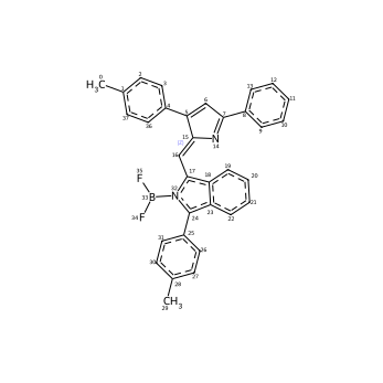 Cc1ccc(C2=CC(c3ccccc3)=N/C2=C\c2c3ccccc3c(-c3ccc(C)cc3)n2B(F)F)cc1